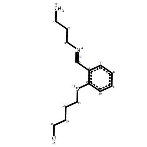 CCCC/N=C/c1ccccc1SCCCCCl